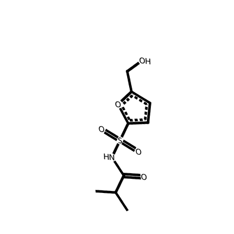 CC(C)C(=O)NS(=O)(=O)c1ccc(CO)o1